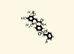 COc1cc(O)cc(OC)c1/C=C1\Sc2ccc(S(=O)(=O)Cc3c(F)cccc3F)cc2NC1=O